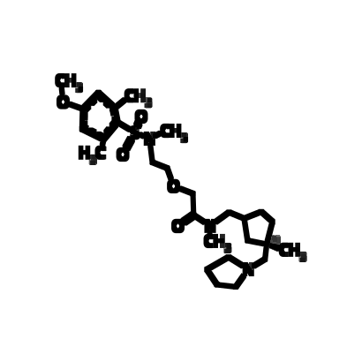 COc1cc(C)c(S(=O)(=O)N(C)CCOCC(=O)N(C)CC2CC[C@](C)(CN3CCCC3)C2)c(C)c1